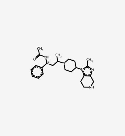 CC(=O)N[C@@H](CC(C)N1CCC(n2c(C)nc3c2CCNC3)CC1)c1ccccc1